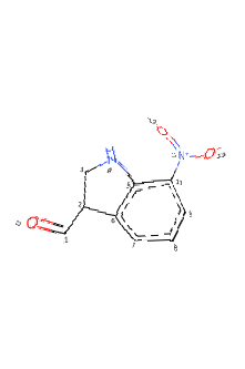 O=CC1CNc2c1cccc2[N+](=O)[O-]